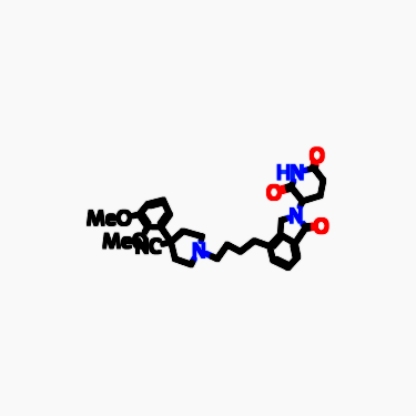 COc1cccc(C2(C#N)CCN(CCCCc3cccc4c3CN(C3CCC(=O)NC3=O)C4=O)CC2)c1OC